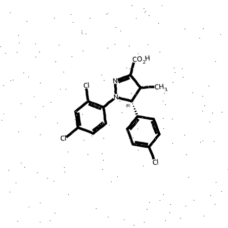 CC1C(C(=O)O)=NN(c2ccc(Cl)cc2Cl)[C@H]1c1ccc(Cl)cc1